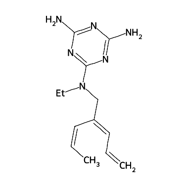 C=C/C=C(\C=C/C)CN(CC)c1nc(N)nc(N)n1